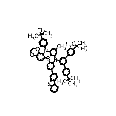 Cc1cc2c3c(c1)N(c1ccc(C(C)(C)C)cc1)c1c(ccc4c1OCCO4)B3c1ccc(-c3ccc4c(c3)sc3ccccc34)cc1N2c1cc(-c2ccc(C(C)(C)C)cc2)cc(-c2ccc(C(C)(C)C)cc2)c1